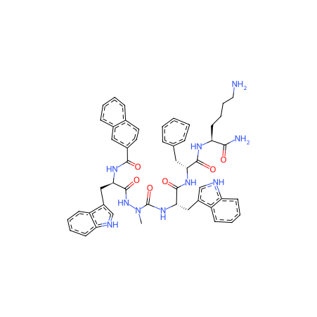 CN(NC(=O)[C@@H](Cc1c[nH]c2ccccc12)NC(=O)c1ccc2ccccc2c1)C(=O)N[C@@H](Cc1c[nH]c2ccccc12)C(=O)N[C@H](Cc1ccccc1)C(=O)N[C@@H](CCCCN)C(N)=O